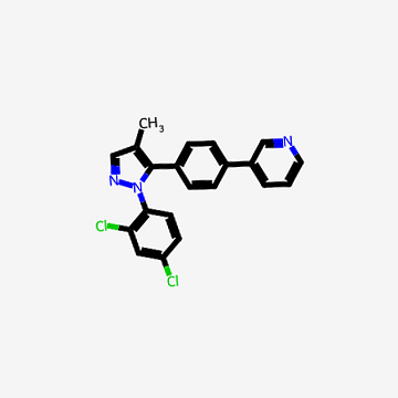 Cc1cnn(-c2ccc(Cl)cc2Cl)c1-c1ccc(-c2cccnc2)cc1